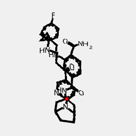 NC(=O)c1ccc(C(=O)NC2CC3CCC(C2)N3c2ccc(C(=O)CCNc3ccc(F)cc3)cn2)cc1NCC1CC1